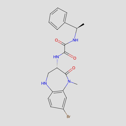 C[C@@H](NC(=O)C(=O)N[C@H]1CNc2ccc(Br)cc2N(C)C1=O)c1ccccc1